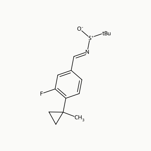 CC1(c2ccc(C=N[S+]([O-])C(C)(C)C)cc2F)CC1